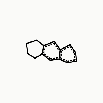 c1ccc2cc3c(cc2c1)CCCC3